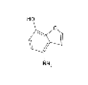 Nc1ccc(O)c2occc12